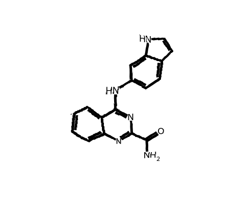 NC(=O)c1nc(Nc2ccc3cc[nH]c3c2)c2c[c]ccc2n1